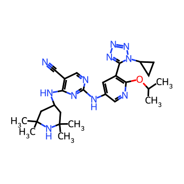 CC(C)Oc1ncc(Nc2ncc(C#N)c(NC3CC(C)(C)NC(C)(C)C3)n2)cc1-c1nnnn1C1CC1